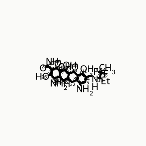 CCC(NCc1cc(N)c2c(c1O)C(=O)C1=C(O)[C@]3(O)C(=O)C(C(N)=O)=C(O)C(N)[C@@H]3C[C@@H]1C2)C(C)(F)F